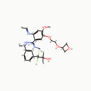 C/C=N/c1cc(OC)c(OCCOC2COC2)cc1/C(=N\C)N[C@H](C)c1cccc(C(F)(F)C(C)(C)O)c1